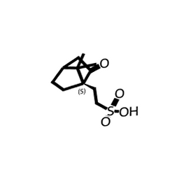 CC1(C)C2CC[C@@]1(CCS(=O)(=O)O)C(=O)C2